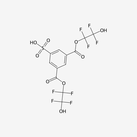 O=C(OC(F)(F)C(O)(F)F)c1cc(C(=O)OC(F)(F)C(O)(F)F)cc(S(=O)(=O)O)c1